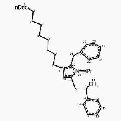 CCCCCCCCCCCCCCCCCCn1cc(CC(C)c2ccccc2)[n+](C(C)C)c1Cc1ccccc1